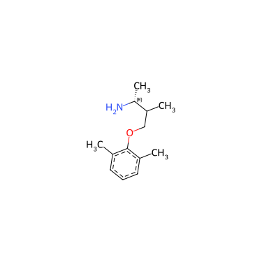 Cc1cccc(C)c1OCC(C)[C@@H](C)N